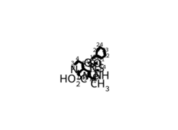 CSc1ncccc1C1=C(C(=O)O)C(C)NC(=S)N1S(=O)(=O)Cc1ccccc1